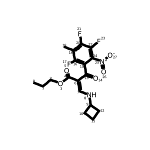 CCCOC(=O)/C(=C/NC1CCC1)C(=O)c1c(F)c(C)c(F)c(F)c1[N+](=O)[O-]